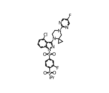 CC(C)S(=O)(=O)c1ccc(S(=O)(=O)n2nc(N3CCN(c4ncc(F)cn4)CC34CC4)c3c(Cl)cccc32)cc1F